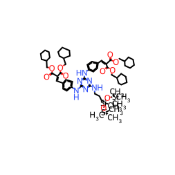 C[Si](C)(C)O[Si](C)(CCCNc1nc(Nc2ccc(C=C(C(=O)OCC3CCCCC3)C(=O)OCC3CCCCC3)cc2)nc(Nc2ccc(C=C(C(=O)OCC3CCCCC3)C(=O)OCC3CCCCC3)cc2)n1)O[Si](C)(C)C